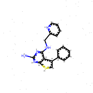 Nc1nc(NCc2ccccn2)c2c(-c3ccccc3)csc2n1